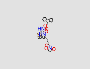 CC(C)(C)SSCC(NC(=O)OCC1c2ccccc2-c2ccccc21)C(=O)NCCCCCC(=O)CN1C(=O)CCC1=O